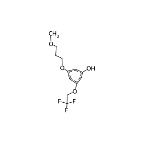 COCCCOc1cc(O)cc(OCC(F)(F)F)c1